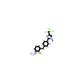 Cn1cc(C(F)(F)F)nc1-c1ccc(Cc2cccc(N)c2S)cc1